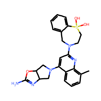 Cc1cccc2c(N3CC4N=C(N)OC4C3)cc(N3CCS(O)(O)c4ccccc4C3)nc12